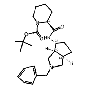 CC(C)(C)OC(=O)N1CCCC[C@H]1C(=O)N[C@@H]1CC[C@H]2CN(Cc3ccccc3)C[C@H]21